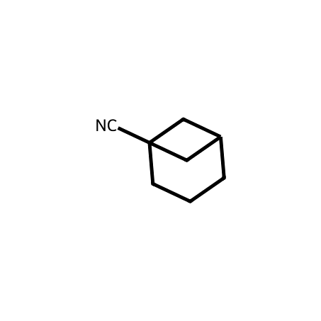 N#CC12CCCC(C1)C2